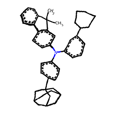 CC1(C)c2ccccc2-c2ccc(N(c3ccc(C45CC6CC(CC(C6)C4)C5)cc3)c3cccc(C4CCCCC4)c3)cc21